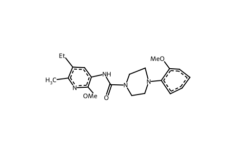 CCc1cc(NC(=O)N2CCN(c3ccccc3OC)CC2)c(OC)nc1C